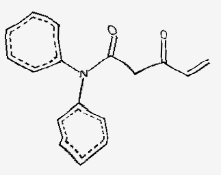 C=CC(=O)CC(=O)N(c1ccccc1)c1ccccc1